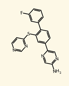 Nc1cnc(-c2ccc(-c3cccc(F)c3)c(Sc3ccncn3)c2)cn1